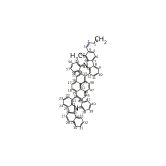 C=C/C=C\c1ccc2c3cccc(-c4ccc5ccc6c(-c7cccc8c9ccc%10ccccc%10c9n(-c9ccccc9)c78)ccc7ccc4c5c76)c3n(-c3ccccc3)c2c1C